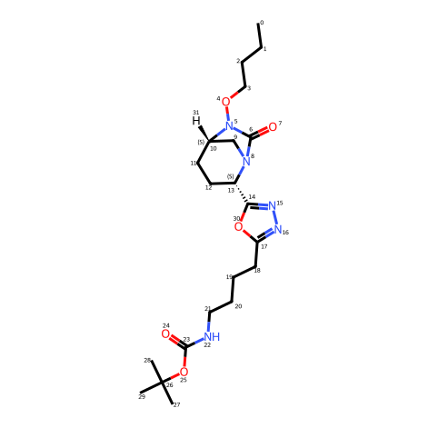 CCCCON1C(=O)N2C[C@@H]1CC[C@H]2c1nnc(CCCCNC(=O)OC(C)(C)C)o1